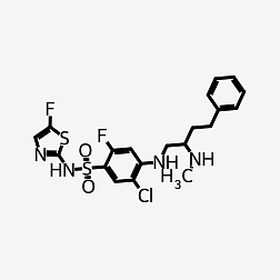 CNC(CCc1ccccc1)CNc1cc(F)c(S(=O)(=O)Nc2ncc(F)s2)cc1Cl